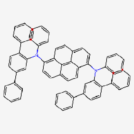 c1ccc(-c2ccc(-c3ccccc3)c(N(c3ccccc3)c3ccc4ccc5c(N(c6ccccc6)c6cc(-c7ccccc7)ccc6-c6ccccc6)ccc6ccc3c4c65)c2)cc1